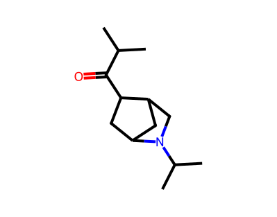 CC(C)C(=O)C1CC2CC1CN2C(C)C